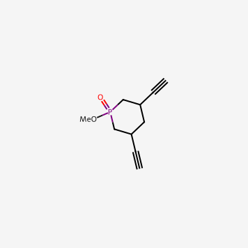 C#CC1CC(C#C)CP(=O)(OC)C1